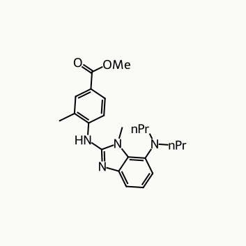 CCCN(CCC)c1cccc2nc(Nc3ccc(C(=O)OC)cc3C)n(C)c12